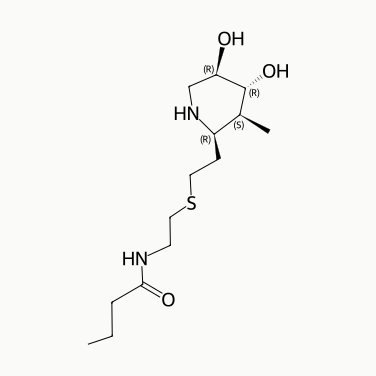 CCCC(=O)NCCSCC[C@H]1NC[C@@H](O)[C@H](O)[C@H]1C